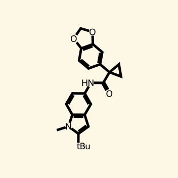 Cn1c(C(C)(C)C)cc2cc(NC(=O)C3(c4ccc5c(c4)OCO5)CC3)ccc21